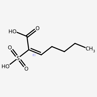 CCCC/C=C(\C(=O)O)S(=O)(=O)O